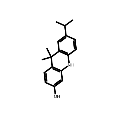 CC(C)c1ccc2c(c1)C(C)(C)c1ccc(O)cc1N2